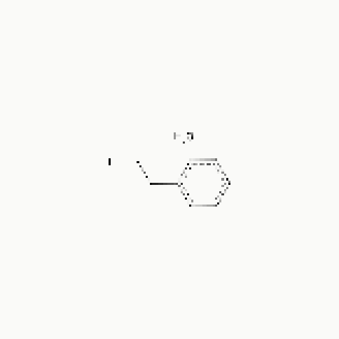 FCCc1ccccc1.O